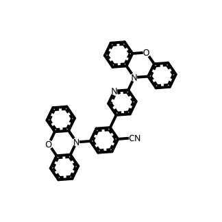 N#Cc1ccc(N2c3ccccc3Oc3ccccc32)cc1-c1ccc(N2c3ccccc3Oc3ccccc32)nc1